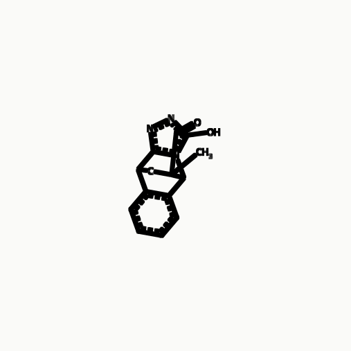 CC1(C=O)CC2c3ccccc3C1n1c(O)nnc12